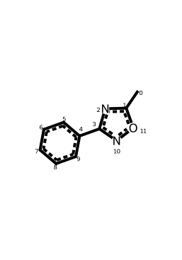 Cc1nc(-c2[c]cccc2)no1